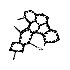 Cc1ccc2c(C)c3c(c(C)c2c1)n1c2c(C#N)cccc2c2ccc4cc[n+](C)c3c4c21